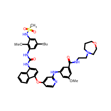 COc1cc(Nc2cc(Oc3ccc(NC(=O)Nc4cc(C(C)(C)C)cc(NS(C)(=O)=O)c4OC)c4ccccc34)ccn2)cc(C(=O)NCCN2CCCOCC2)c1